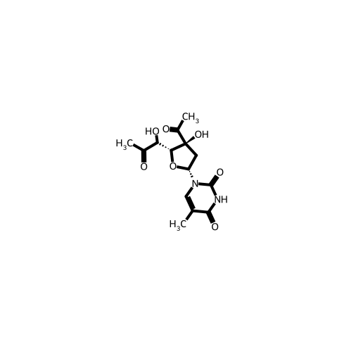 CC(=O)C(O)[C@H]1O[C@@H](n2cc(C)c(=O)[nH]c2=O)C[C@@]1(O)C(C)=O